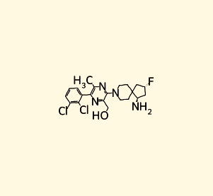 Cc1nc(N2CCC3(CC2)C[C@H](F)C[C@H]3N)c(CO)nc1-c1cccc(Cl)c1Cl